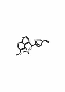 C=CC1CN2CCC1CC2[C@@H](O[Si](C)(C)C)c1ccnc2ccc(OC)cc12